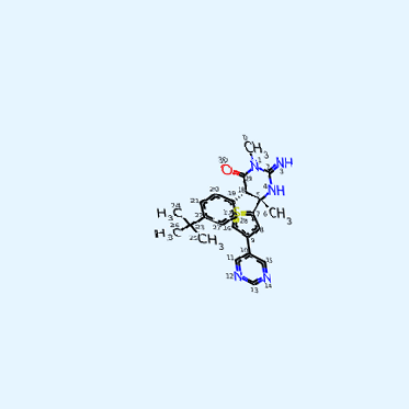 CN1C(=N)N[C@](C)(c2cc(-c3cncnc3)cs2)[C@H](c2ccc(C(C)(C)C)cc2)C1=O